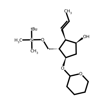 CC=C[C@@H]1[C@@H](CO[Si](C)(C)C(C)(C)C)[C@H](OC2CCCCO2)C[C@@H]1O